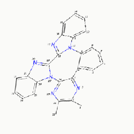 Cc1nc2c3ccccc3n3c4ccccc4nc3c3nc4ccccc4n3c2nc1C